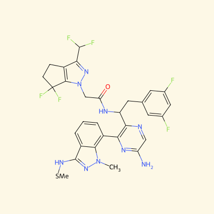 CSNc1nn(C)c2c(-c3nc(N)cnc3C(Cc3cc(F)cc(F)c3)NC(=O)Cn3nc(C(F)F)c4c3C(F)(F)CC4)cccc12